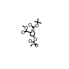 COC(=O)C1CC(OS(C)(=O)=O)CN1C(=O)OC(C)(C)C